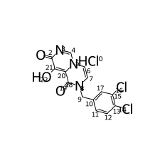 Cl.O=c1ncn2ccn(Cc3ccc(Cl)c(Cl)c3)c(=O)c2c1O